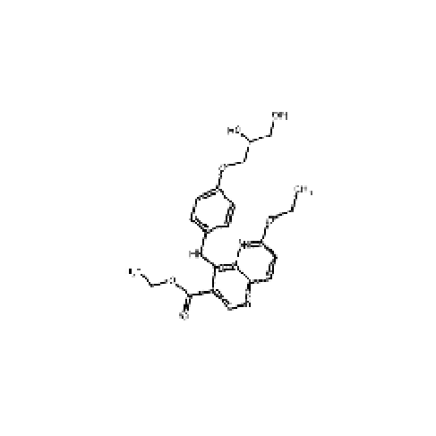 CCOC(=O)c1cnc2ccc(OCC)nc2c1Nc1ccc(OCC(O)CO)cc1